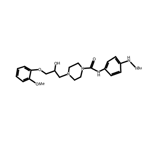 CCCCNc1ccc(NC(=O)N2CCN(CC(O)COc3ccccc3OC)CC2)cc1